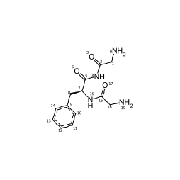 NCC(=O)NC(=O)[C@H](Cc1ccccc1)NC(=O)CN